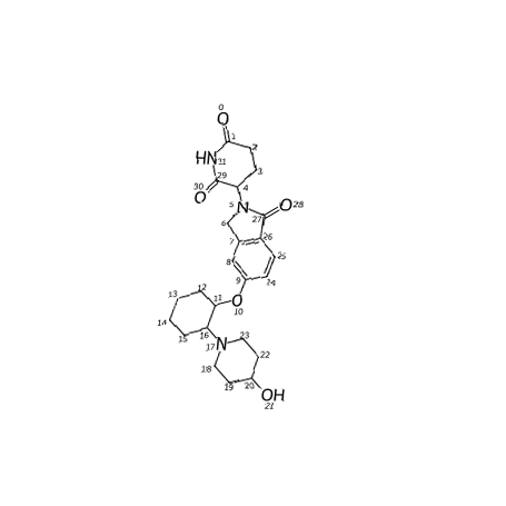 O=C1CCC(N2Cc3cc(OC4CCCCC4N4CCC(O)CC4)ccc3C2=O)C(=O)N1